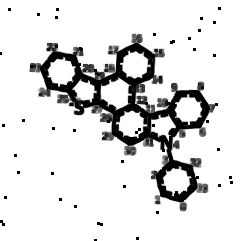 c1ccc(-n2c3ccccc3c3c4c5ccccc5c5c6ccccc6sc5c4ccc32)cc1